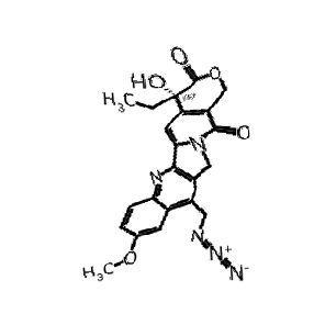 CC[C@@]1(O)C(=O)OCc2c1cc1n(c2=O)Cc2c-1nc1ccc(OC)cc1c2CN=[N+]=[N-]